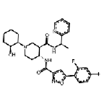 C[C@@H](NC(=O)[C@@H]1CN([C@@H]2CCCC[C@@H]2O)CC[C@H]1NC(=O)c1cc(-c2ccc(F)cc2F)on1)c1ccccn1